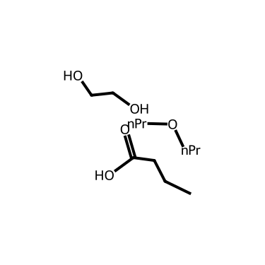 CCCC(=O)O.CCCOCCC.OCCO